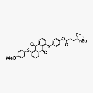 CCCCC(C)CCC(=O)Oc1ccc(Sc2cccc3c2C(=O)c2cccc(Sc4ccc(OC)cc4)c2C3=O)cc1